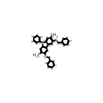 Cc1cc2c(cc1SCc1ccccc1)-c1cc(SCc3ccccc3)c(C)cc1B2c1ccccc1